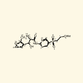 COCCS(=O)(=O)c1cnc(NC(=O)C(C#N)C(O)c2cnoc2C)nc1